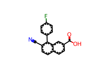 N#Cc1ccc2ccc(C(=O)O)cc2c1-c1ccc(F)cc1